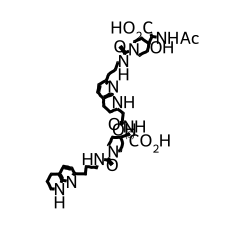 CC(=O)NC(C(=O)O)C1(O)CCN(C(=O)NCCCc2ccc3c(n2)NC(CC(=O)N[C@H](C(=O)O)C2(O)CCN(C(=O)NCCCc4ccc5c(n4)NCCC5)CC2)CC3)CC1